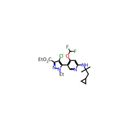 CCOC(=O)c1nn(CC)c(-c2cnc(NC(C)(C)CC3CC3)cc2OC(F)F)c1Cl